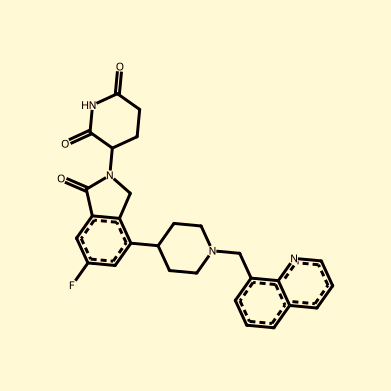 O=C1CCC(N2Cc3c(cc(F)cc3C3CCN(Cc4cccc5cccnc45)CC3)C2=O)C(=O)N1